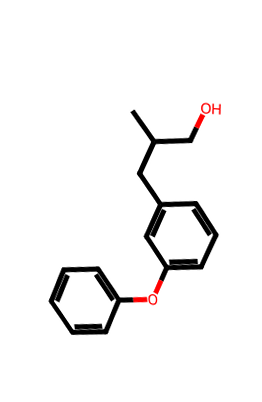 CC(CO)Cc1cccc(Oc2ccccc2)c1